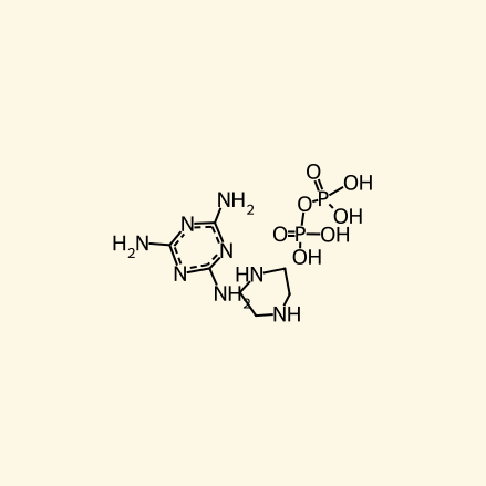 C1CNCCN1.Nc1nc(N)nc(N)n1.O=P(O)(O)OP(=O)(O)O